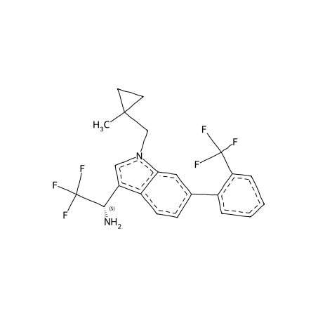 CC1(Cn2cc([C@H](N)C(F)(F)F)c3ccc(-c4ccccc4C(F)(F)F)cc32)CC1